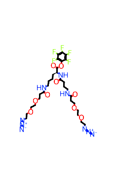 [N-]=[N+]=NCCOCCOCCC(=O)NCCCC[C@H](NC(=O)CCCNC(=O)CCOCCOCCN=[N+]=[N-])C(=O)Oc1c(F)c(F)c(F)c(F)c1F